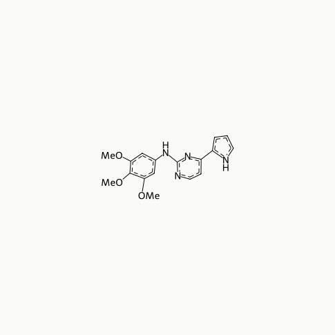 COc1cc(Nc2nccc(-c3ccc[nH]3)n2)cc(OC)c1OC